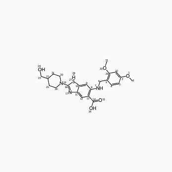 COc1ccc(CNc2cc3c(cc2C(=O)O)N=C(N2CCC(CO)CC2)[SH]3C)c(OC)c1